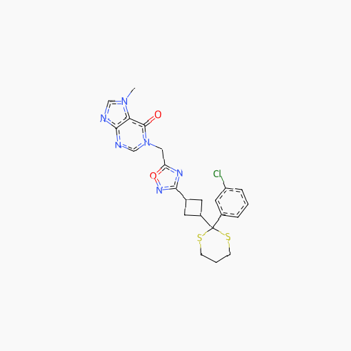 Cn1cnc2ncn(Cc3nc(C4CC(C5(c6cccc(Cl)c6)SCCCS5)C4)no3)c(=O)c21